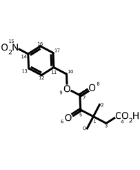 CC(C)(CC(=O)O)C(=O)C(=O)OCc1ccc([N+](=O)[O-])cc1